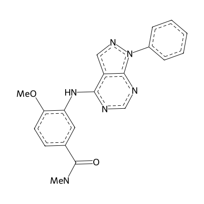 CNC(=O)c1ccc(OC)c(Nc2ncnc3c2cnn3-c2ccccc2)c1